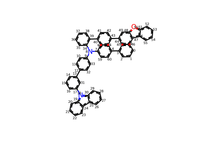 c1ccc(-c2ccc(N(c3ccc(-c4cccc(-n5c6ccccc6c6ccccc65)c4)cc3)c3ccccc3-c3ccc(-c4ccc5c(c4)oc4ccccc45)cc3)cc2)cc1